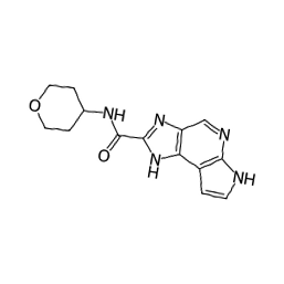 O=C(NC1CCOCC1)c1nc2cnc3[nH]ccc3c2[nH]1